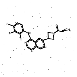 C=CC(=O)N1CC(c2cc3c(Nc4ccc(Cl)c(F)c4F)ncnc3cn2)C1